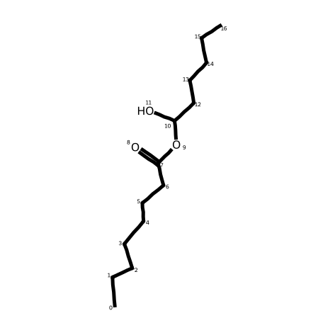 CCCCCCCC(=O)OC(O)CCCCC